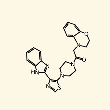 O=C(CN1CCOc2ccccc21)N1CCN(c2scnc2-c2nc3ccccc3[nH]2)CC1